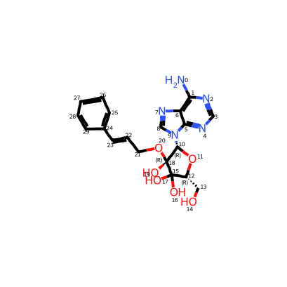 Nc1ncnc2c1ncn2[C@@H]1O[C@H](CO)C(O)(O)[C@]1(O)OCC=Cc1ccccc1